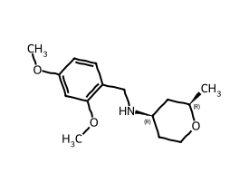 COc1ccc(CN[C@@H]2CCO[C@H](C)C2)c(OC)c1